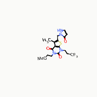 COCCn1c(=O)c2c(C)c(Cn3[nH]ccc3=O)sc2n(CCC(F)(F)F)c1=O